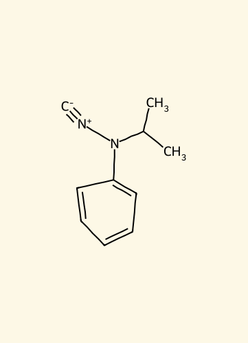 [C-]#[N+]N(c1ccccc1)C(C)C